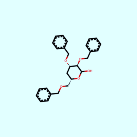 OC1O[C@H](COCc2ccccc2)C[C@H](OCc2ccccc2)[C@H]1OCc1ccccc1